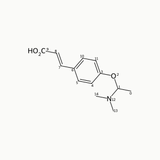 CC(Oc1ccc(/C=C/C(=O)O)cc1)N(C)C